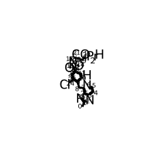 Cc1nc2cc[nH]c(Cc3ccc(S(=O)(=O)N(C)[C@@H](CC(C)C)C(=O)O)cc3Cl)c-2n1